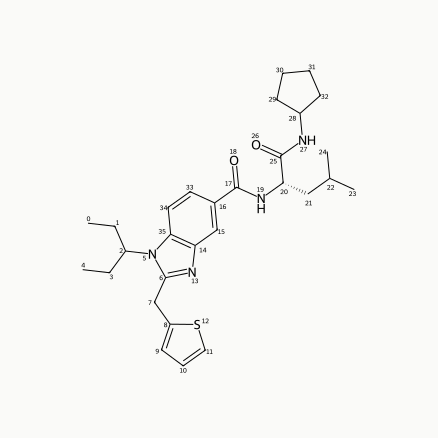 CCC(CC)n1c(Cc2cccs2)nc2cc(C(=O)N[C@@H](CC(C)C)C(=O)NC3CCCC3)ccc21